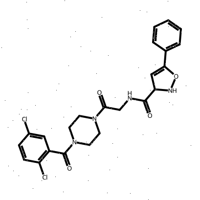 O=C(NCC(=O)N1CCN(C(=O)c2cc(Cl)ccc2Cl)CC1)C1C=C(c2ccccc2)ON1